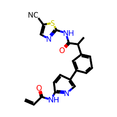 C=CC(=O)Nc1ccc(-c2cccc(C(C)C(=O)Nc3ncc(C#N)s3)c2)cn1